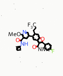 CNC(=O)c1c(-c2ccc(F)cc2)oc2cc(CCC(F)(F)F)c(-c3cnc(OC)c(C(=O)NC45CC(C4)C5)c3)cc12